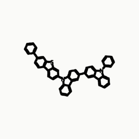 c1ccc(-c2ccc3c(c2)sc2cc(-n4c5ccccc5c5cc(-c6ccc7c(c6)c6ccccc6n7-c6ccccc6)ccc54)ccc23)cc1